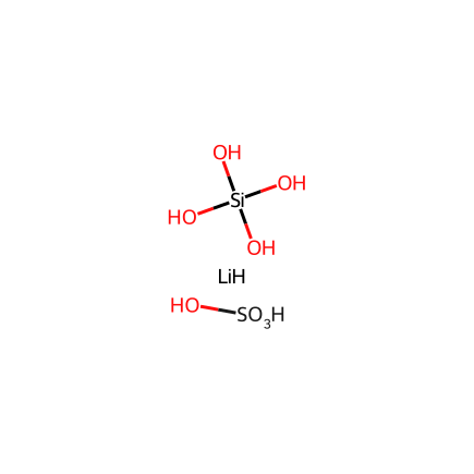 O=S(=O)(O)O.O[Si](O)(O)O.[LiH]